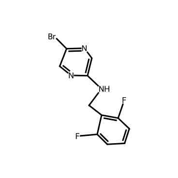 Fc1cccc(F)c1CNc1cnc(Br)cn1